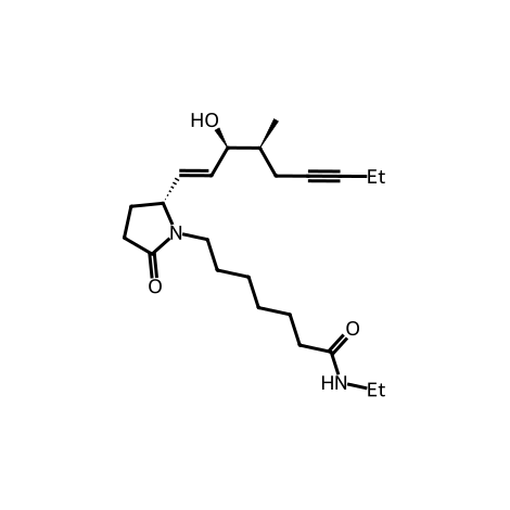 CCC#CC[C@H](C)[C@H](O)/C=C/[C@H]1CCC(=O)N1CCCCCCC(=O)NCC